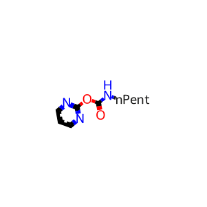 CCCCCNC(=O)Oc1ncccn1